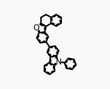 c1ccc(-n2c3ccccc3c3cc(-c4ccc5oc6c(c5c4)-c4ccccc4CC6)ccc32)cc1